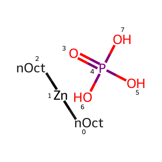 CCCCCCC[CH2][Zn][CH2]CCCCCCC.O=P(O)(O)O